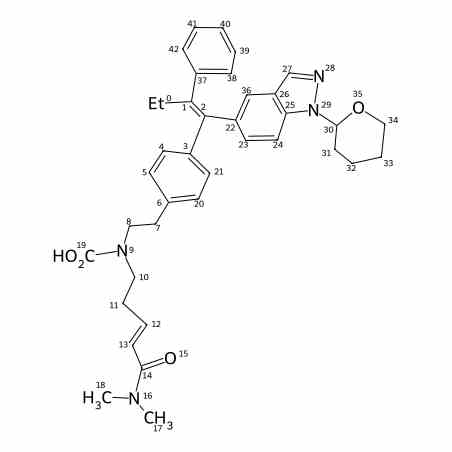 CCC(=C(c1ccc(CCN(CCC=CC(=O)N(C)C)C(=O)O)cc1)c1ccc2c(cnn2C2CCCCO2)c1)c1ccccc1